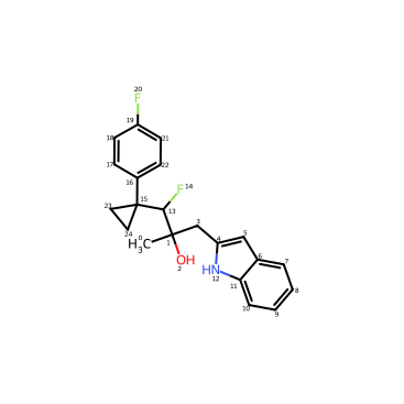 CC(O)(Cc1cc2ccccc2[nH]1)C(F)C1(c2ccc(F)cc2)CC1